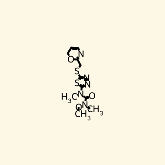 CON(C)C(=O)N(C)c1nnc(SCC2=NC=CCO2)s1